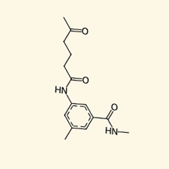 CNC(=O)c1cc(C)cc(NC(=O)CCCC(C)=O)c1